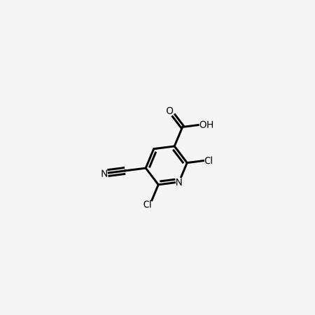 N#Cc1cc(C(=O)O)c(Cl)nc1Cl